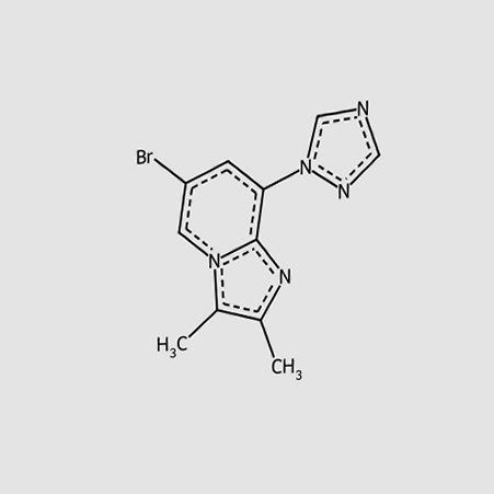 Cc1nc2c(-n3cncn3)cc(Br)cn2c1C